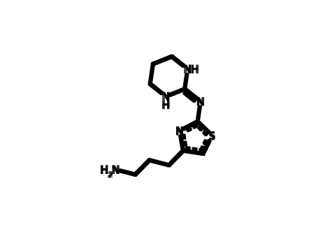 NCCCc1csc(N=C2NCCCN2)n1